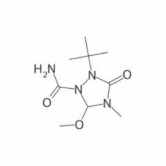 COC1N(C)C(=O)N(C(C)(C)C)N1C(N)=O